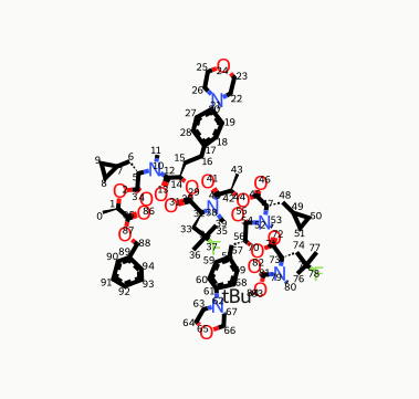 C[C@@H](OC(=O)[C@H](CC1CC1)N(C)C(=O)[C@@H](CCc1ccc(N2CCOCC2)cc1)OC(=O)[C@H](CC(C)(C)F)N(C)C(=O)[C@@H](C)OC(=O)[C@H](CC1CC1)N(C)C(=O)[C@@H](Cc1ccc(N2CCOCC2)cc1)OC(=O)[C@H](CC(C)(C)F)N(C)C(=O)OC(C)(C)C)C(=O)OCc1ccccc1